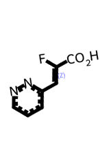 O=C(O)/C(F)=C/c1cccnn1